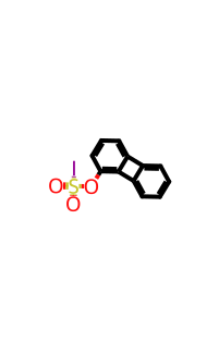 O=S(=O)(I)Oc1cccc2c1-c1ccccc1-2